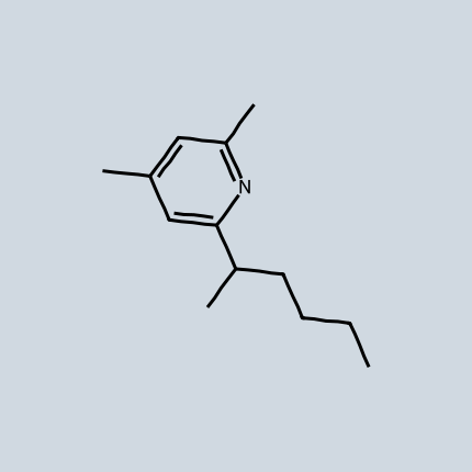 CCCCC(C)c1cc(C)cc(C)n1